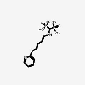 O=P(O)(O)C(NCCCCOc1ccccn1)P(=O)(O)O